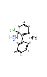 NC1(Cl)CC=CC=C1c1ccccc1.[Pd]